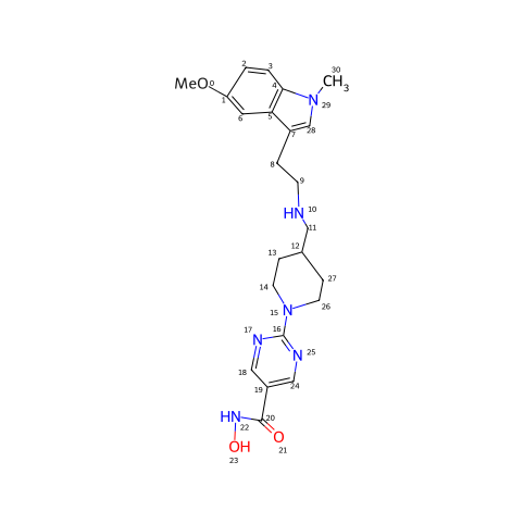 COc1ccc2c(c1)c(CCNCC1CCN(c3ncc(C(=O)NO)cn3)CC1)cn2C